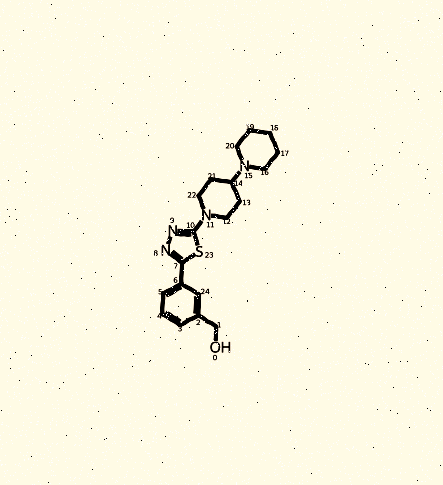 OCc1cccc(-c2nnc(N3CCC(N4CCCCC4)CC3)s2)c1